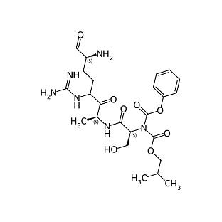 CC(C)COC(=O)N(C(=O)Oc1ccccc1)[C@@H](CO)C(=O)N[C@@H](C)C(=O)C(CC[C@H](N)C=O)NC(=N)N